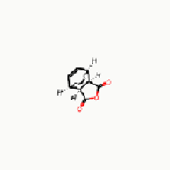 O=C1OC(=O)[C@H]2[C@@H]1[C@H]1C=C[C@@H]2CCC1